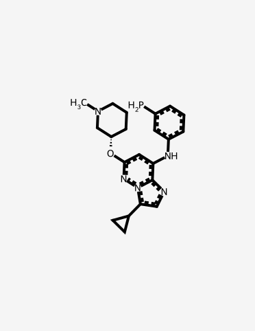 CN1CCC[C@H](Oc2cc(Nc3cccc(P)c3)c3ncc(C4CC4)n3n2)C1